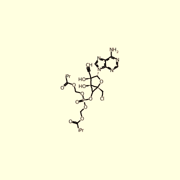 C#C[C@]1(O)[C@H](n2cnc3c(N)ncnc32)O[C@]2(CCl)C(OP(=O)(OCOC(=O)C(C)C)OCOC(=O)C(C)C)[C@@]21O